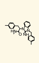 CNC(=O)C(Cc1ccc(C)cc1)n1c(=N)n(Cc2ccc(C)cc2)c2ccccc21